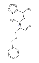 CC(O/C(N)=C(\C=O)OSCc1ccccc1)c1cccs1